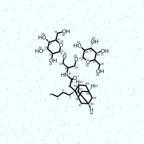 CCCC[C@]1(CC(=O)NC(CO[C@H]2OC(CO)[C@H](O)[C@@H](O)C2O)CO[C@H]2OC(CO)[C@H](O)[C@@H](O)C2O)C2C[C@@H]3C[C@H](C2)C[C@@H]1C3